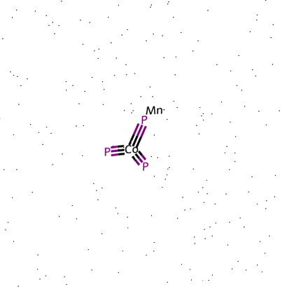 [Mn].[P]#[Co](#[P])#[P]